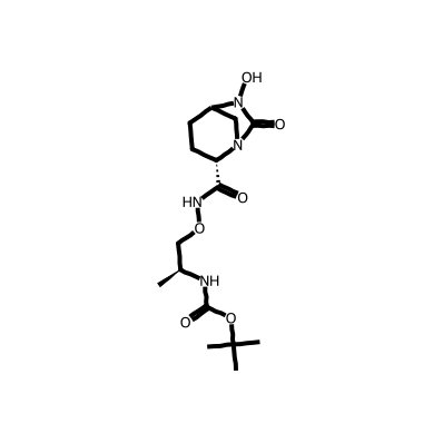 C[C@@H](CONC(=O)[C@@H]1CCC2CN1C(=O)N2O)NC(=O)OC(C)(C)C